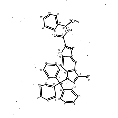 C[C@@H](NC(=O)c1nc2cc3c(Br)nn(C(c4ccccc4)(c4ccccc4)c4ccccc4)c3cc2[nH]1)c1ccccc1